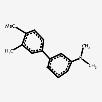 COc1ccc(-c2[c]ccc(N(C)C)c2)cc1C